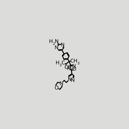 CC(C)C(C)(c1ccc(-c2cnc(N)nc2)cc1)c1noc(-c2cnn(CCN3CCOCC3)c2)n1